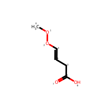 COO/C=C/CC(=O)O